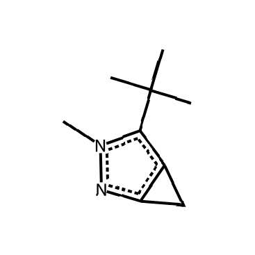 Cn1nc2c(c1C(C)(C)C)C2